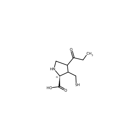 CCC(=O)C1CN[C@H](C(=O)O)C1CS